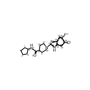 O=C(NC1CCCC1)C1CCN(c2nc3cc(F)c(Cl)cc3[nH]2)CC1